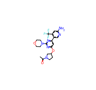 CC(=O)N1CCC(Oc2cc(-c3cnc(N)cc3C(F)(F)F)nc(N3CCOCC3)n2)C1